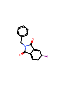 O=C1C2=CC[C@H](I)C=C2C(=O)N1Cc1ccccc1